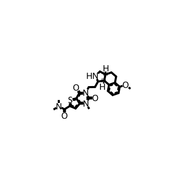 COc1cccc2c1CC[C@H]1CNC(CCn3c(=O)c4sc(C(=O)N(C)C)cc4n(C)c3=O)[C@@H]21